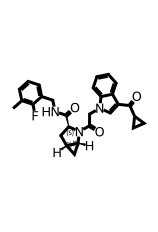 Cc1cccc(CNC(=O)[C@@H]2C[C@H]3C[C@H]3N2C(=O)Cn2cc(C(=O)C3CC3)c3ccccc32)c1F